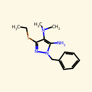 CCSc1nn(Cc2ccccc2)c(N)c1N(C)C